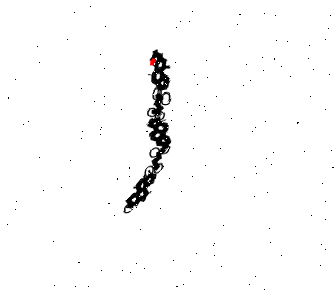 C=C1C=C2C[C@@H](C)C3C(C2CC1)[C@@H](C)C[C@@]1(C)C3CC[C@@H]1OC(=O)CCC(=O)O[C@H]1CCC2C3CCc4cc(OC(=O)CCC(=O)O[C@H]5CCC6C7C(C8CCC(=O)C=C8C[C@H]7C)[C@@H](C)C[C@@]65C)ccc4C3CC[C@@]21C